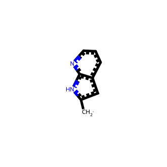 [CH2]c1cc2cccnc2[nH]1